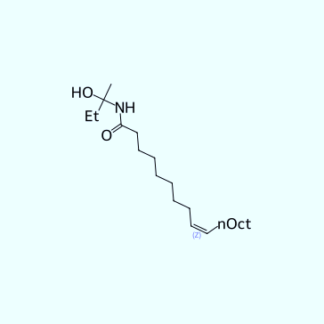 CCCCCCCC/C=C\CCCCCCCC(=O)NC(C)(O)CC